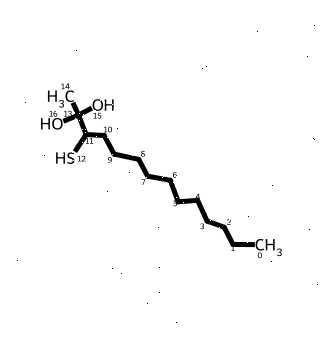 CCCCCCCCCCCC(S)C(C)(O)O